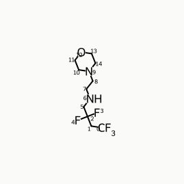 FC(F)(F)CC(F)(F)CNCCN1CCOCC1